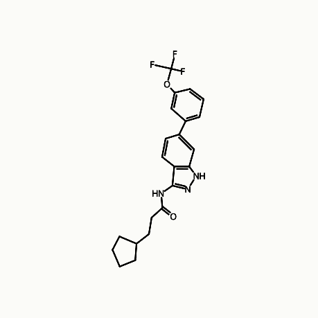 O=C(CCC1CCCC1)Nc1n[nH]c2cc(-c3cccc(OC(F)(F)F)c3)ccc12